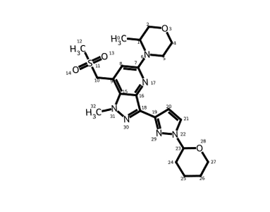 CC1COCCN1c1cc(CS(C)(=O)=O)c2c(n1)c(-c1ccn(C3CCCCO3)n1)nn2C